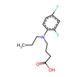 CCCN(CCCC(=O)O)c1ccc(F)cc1F